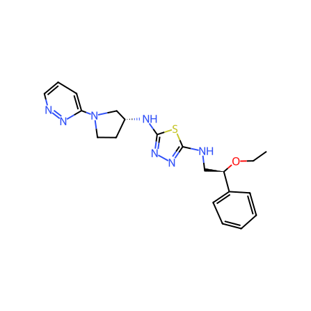 CCO[C@H](CNc1nnc(N[C@@H]2CCN(c3cccnn3)C2)s1)c1ccccc1